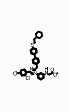 COC(=O)CNc1cccc(-n2cc(-c3ccc(Cl)cc3Cl)nc2Cc2ccc(-c3ccc(SCCC4CCCCC4)cc3)cc2)c1